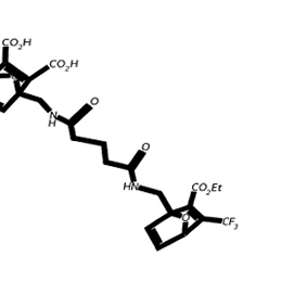 CCOC(=O)C1=C(C(F)(F)F)C2C=CC1(CNC(=O)CCCC(=O)NCC13C=CC(O1)C(C(=O)O)=C3C(=O)O)O2